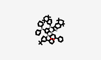 CC(C)(C)c1ccc(N2c3ccc(-c4ccccc4)cc3B3c4sc5cc6c(cc5c4N(c4ccc5c(c4)C(C)(C)CCC5(C)C)c4cc(N(c5ccccc5)c5ccccc5)cc2c43)C(C)(C)CCC6(C)C)c(-c2ccccc2)c1